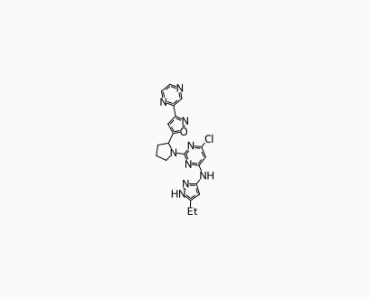 CCc1cc(Nc2cc(Cl)nc(N3CCCC3c3cc(-c4cnccn4)no3)n2)n[nH]1